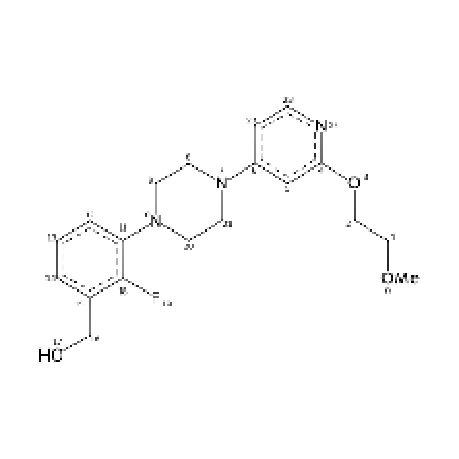 COCCOc1cc(N2CCN(c3cccc(CO)c3F)CC2)ccn1